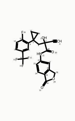 C#CC(O)(CC1(c2cc(C(F)(F)F)ccc2F)CC1)C(=O)Nc1ccc2c(c1)COC2=O